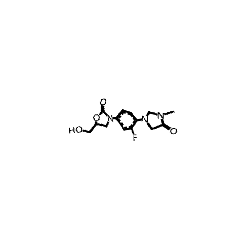 CN1CN(c2ccc(N3CC(CO)OC3=O)cc2F)CC1=O